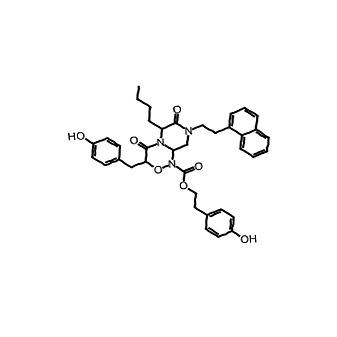 CCCCC1C(=O)N(CCc2cccc3ccccc23)CC2N(C(=O)OCCc3ccc(O)cc3)OC(Cc3ccc(O)cc3)C(=O)N12